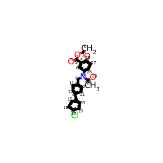 C=C1OC(=O)c2cc(N(Cc3ccc(-c4ccc(Cl)cc4)cc3)C(C)=O)ccc2O1